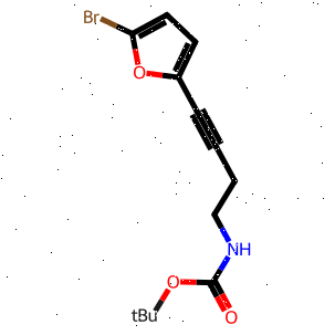 CC(C)(C)OC(=O)NCCC#Cc1ccc(Br)o1